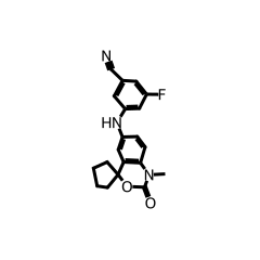 CN1C(=O)OC2(CCCC2)c2cc(Nc3cc(F)cc(C#N)c3)ccc21